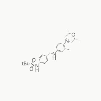 Cc1cc(NCc2ccc(NS(=O)(=O)C(C)(C)C)cc2)ccc1N1C[C@@H](C)O[C@@H](C)C1